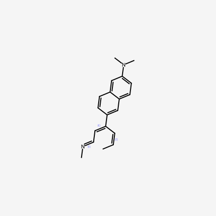 C\C=C/C(=C\C=N\C)c1ccc2cc(N(C)C)ccc2c1